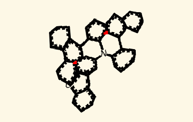 c1ccc(N(c2ccc3oc4ccccc4c3c2)c2ccccc2-c2cc3ccccc3c3ccccc23)c(-c2cccc3ccccc23)c1